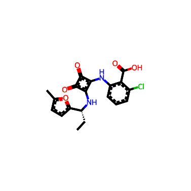 CC[C@@H](Nc1c(Nc2cccc(Cl)c2C(=O)O)c(=O)c1=O)c1ccc(C)o1